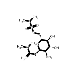 C=C(S[C@H]1O[C@H](COS(=O)(=O)N(C)C)[C@@H](O)[C@H](O)[C@H]1N)N(C)C